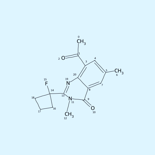 CC(=O)c1cc(C)cc2c(=O)n(C)c(C3(F)CCC3)nc12